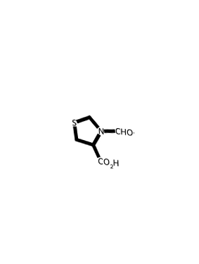 O=[C]N1CSCC1C(=O)O